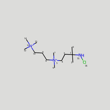 CC(C)(CC[N+](C)(C)CCC[N+](C)(C)C)NCl